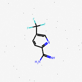 N=C(N)c1ccc(C(F)(F)F)cn1